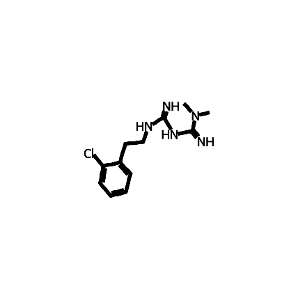 CN(C)C(=N)NC(=N)NCCc1ccccc1Cl